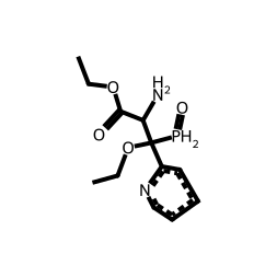 CCOC(=O)C(N)C(OCC)([PH2]=O)c1ccccn1